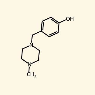 CN1CCN(Cc2ccc(O)cc2)CC1